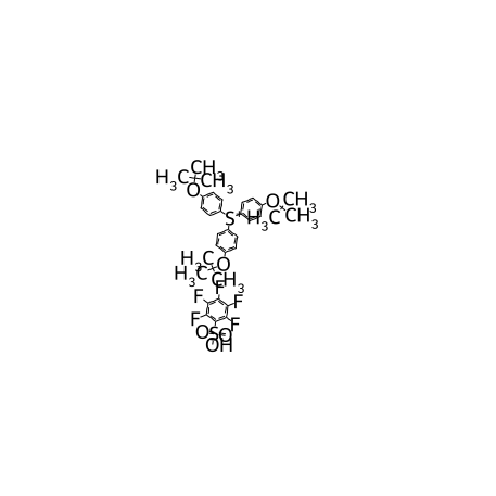 CC(C)(C)Oc1ccc([S+](c2ccc(OC(C)(C)C)cc2)c2ccc(OC(C)(C)C)cc2)cc1.O=S(=O)(O)c1c(F)c(F)c(F)c(F)c1F